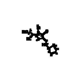 CCOC(=O)C(C#N)=c1sc(=CNc2ccccn2)c(=O)n1CC